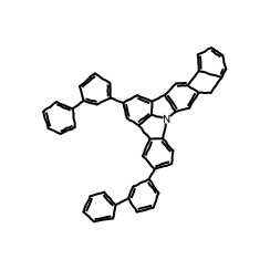 c1ccc(-c2cccc(-c3ccc4c(c3)c3cc(-c5cccc(-c6ccccc6)c5)cc5c6cc7c(cc6n4c35)Cc3ccccc3-7)c2)cc1